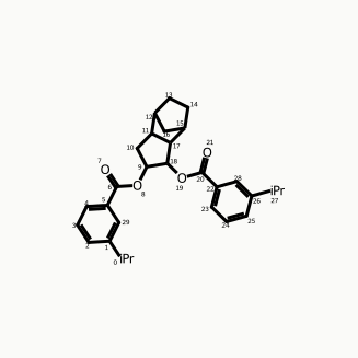 CC(C)c1cccc(C(=O)OC2CC3C4CCC(C4)C3C2OC(=O)c2cccc(C(C)C)c2)c1